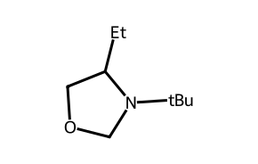 CCC1COCN1C(C)(C)C